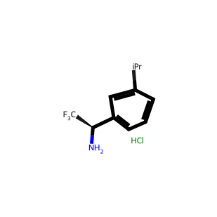 CC(C)c1cccc([C@@H](N)C(F)(F)F)c1.Cl